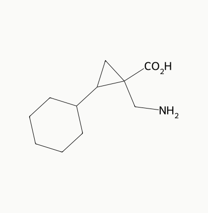 NCC1(C(=O)O)CC1C1CCCCC1